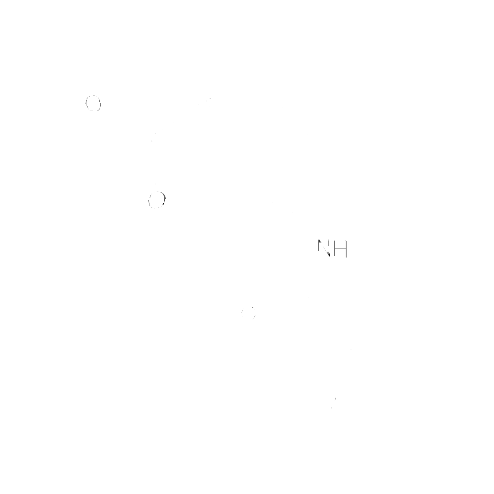 C=C(C)C(=O)NC1C(C)CC2CC1OC2=O